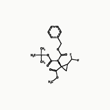 COC(=O)[C@@]1(N(C(=O)OCc2ccccc2)C(=O)OC(C)(C)C)CC1C(F)F